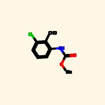 CC(C)(C)OC(=O)Nc1cccc(Cl)c1C=O